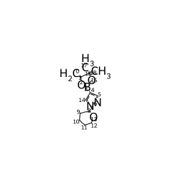 C=C1OB(c2cnn(C3CCCCO3)c2)OC1(C)C